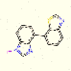 In1cnc2c(-c3cccc4ncsc34)cccc21